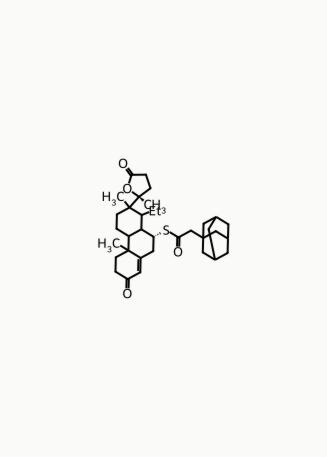 CCC1C2C(CCC1(C)[C@@]1(C)CCC(=O)O1)C1(C)CCC(=O)C=C1C[C@H]2SC(=O)CC12CC3CC(CC(C3)C1)C2